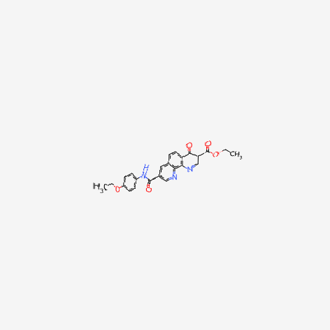 CCOC(=O)C1C=Nc2c(ccc3cc(C(=O)Nc4ccc(OCC)cc4)cnc23)C1=O